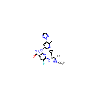 CC[C@H](NC(=O)O)[C@H](Nc1nc(Nc2cnc(C)c(-n3nccn3)c2)c(C(N)=O)cc1F)C1CC1